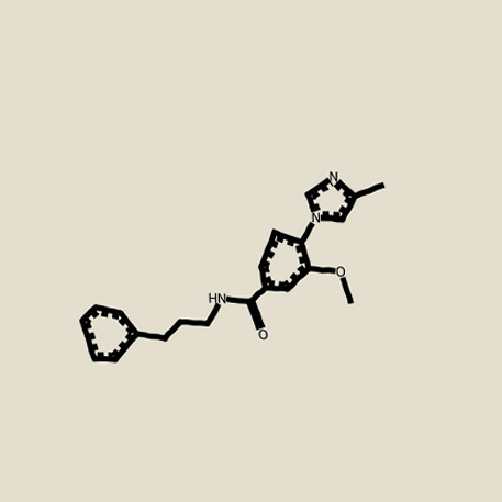 COc1cc(C(=O)NCCCc2ccccc2)ccc1-n1cnc(C)c1